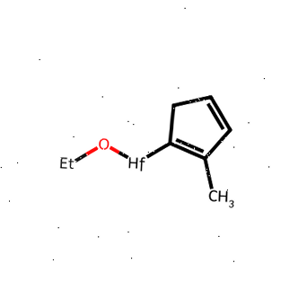 CC[O][Hf][C]1=C(C)C=CC1